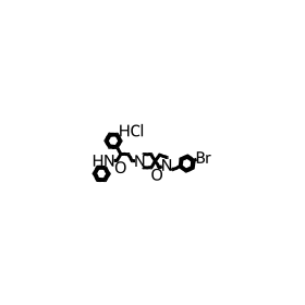 Cl.O=C(Nc1ccccc1)C(CCN1CCC2(CC1)CCN(Cc1ccc(Br)cc1)C2=O)c1ccccc1